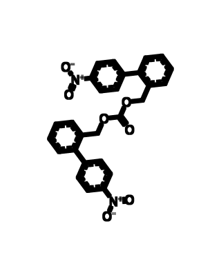 O=C(OCc1ccccc1-c1ccc([N+](=O)[O-])cc1)OCc1ccccc1-c1ccc([N+](=O)[O-])cc1